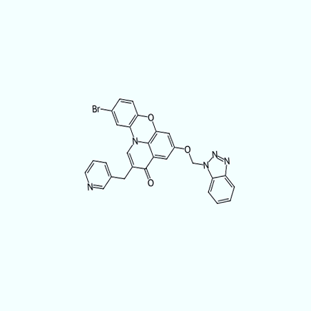 O=c1c(Cc2cccnc2)cn2c3c(cc(OCn4nnc5ccccc54)cc13)Oc1ccc(Br)cc1-2